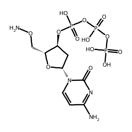 NOC[C@H]1O[C@@H](n2ccc(N)nc2=O)C[C@@H]1OP(=O)(O)OP(=O)(O)OP(=O)(O)O